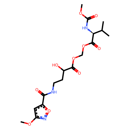 COC(=O)N[C@H](C(=O)OCOC(=O)C(O)CCNC(=O)c1cc(OC)no1)C(C)C